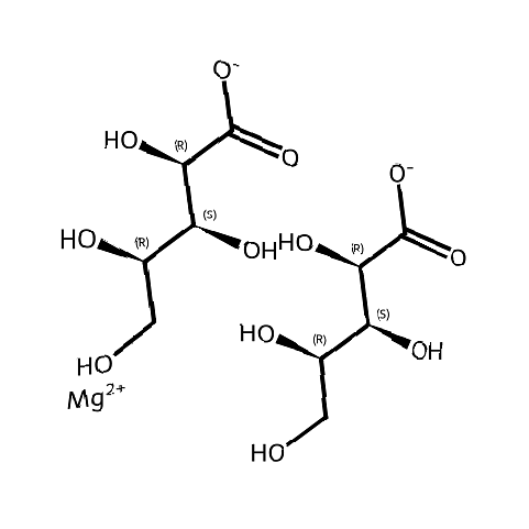 O=C([O-])[C@H](O)[C@@H](O)[C@H](O)CO.O=C([O-])[C@H](O)[C@@H](O)[C@H](O)CO.[Mg+2]